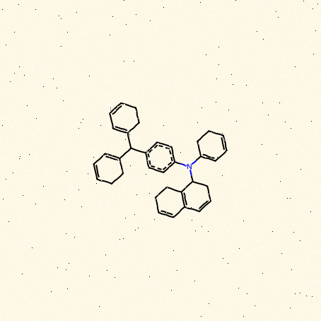 C1=CCCC(C(C2=CC=CCC2)c2ccc(N(C3=CC=CCC3)C3CC=CC4=C3CCC=C4)cc2)=C1